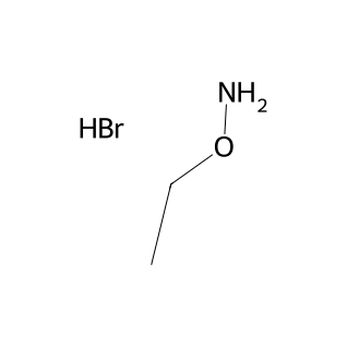 Br.CCON